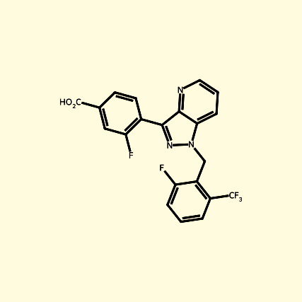 O=C(O)c1ccc(-c2nn(Cc3c(F)cccc3C(F)(F)F)c3cccnc23)c(F)c1